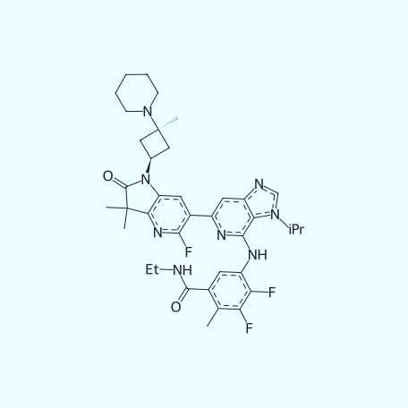 CCNC(=O)c1cc(Nc2nc(-c3cc4c(nc3F)C(C)(C)C(=O)N4[C@H]3C[C@@](C)(N4CCCCC4)C3)cc3ncn(C(C)C)c23)c(F)c(F)c1C